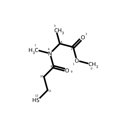 COC(=O)C(C)N(C)C(=O)CCS